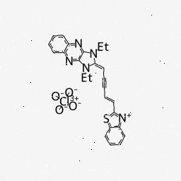 CCN1C(=CC#CC=Cc2sc3ccccc3[n+]2C)N(CC)c2nc3ccccc3nc21.[O-][Cl+3]([O-])([O-])[O-]